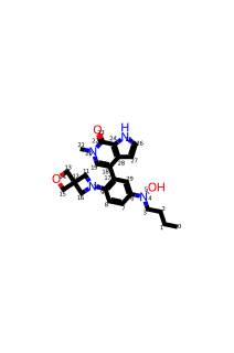 CCCCN(O)c1ccc(N2CC3(COC3)C2)c(-c2cn(C)c(=O)c3[nH]ccc23)c1